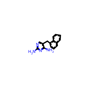 Nc1ncc(Cc2cccc3ccccc23)c(N)n1